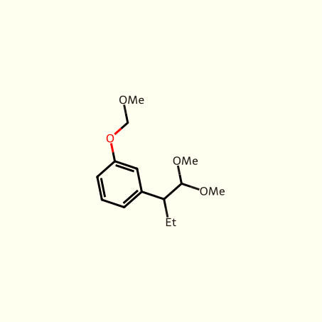 CCC(c1cccc(OCOC)c1)C(OC)OC